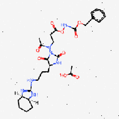 CC(=O)N(CCC(=O)ONC(=O)OCc1ccccc1)N1C(=O)N[C@@H](CCCNC2=N[C@@H]3CCCC[C@@H]3N2)C1=O.CC(=O)O